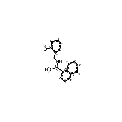 C[C@@H](NCc1ccccc1O)c1cccc2ccccc12